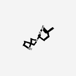 Cc1ccc(N2CC3(CCN3)C2)nn1